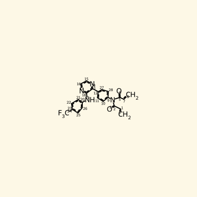 C=CC(=O)N(C(=O)C=C)c1ccc(-c2nccnc2Nc2ccc(C(F)(F)F)cc2)cc1